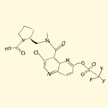 CN(C[C@@H]1CCCN1C(=O)O)C(=O)c1c(Cl)cnc2ccc(OS(=O)(=O)C(F)(F)F)nc12